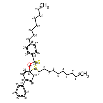 CCCCCCCCCCSC1(OC(=S)c2ccc(CCCCCCCC)cc2)C=CC(c2ccccc2)=CC1